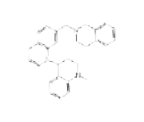 CN1CCC(N2C=CCc3ccc(CN4CCc5ccccc5C4)cc32)c2ccccc21